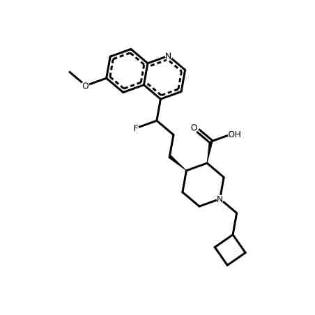 COc1ccc2nccc(C(F)CC[C@@H]3CCN(CC4CCC4)C[C@@H]3C(=O)O)c2c1